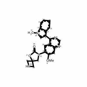 COc1cc2ncnc(-c3cn(C)c4ccccc34)c2cc1N1CC2(CNC2)OC1=O